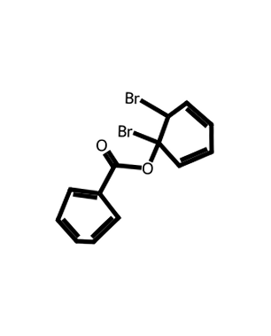 O=C(OC1(Br)C=CC=CC1Br)c1ccccc1